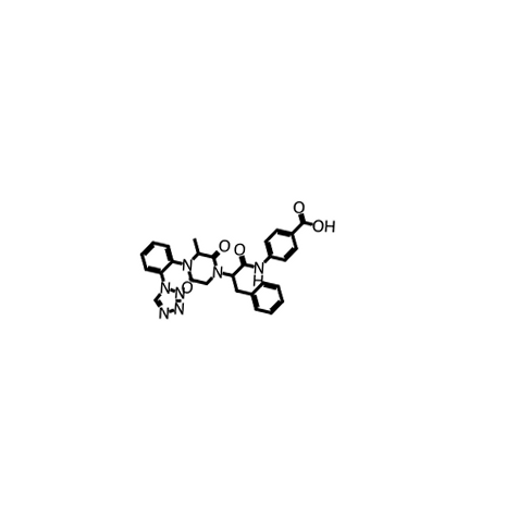 CC1C(=O)N(C(Cc2ccccc2)C(=O)Nc2ccc(C(=O)O)cc2)CC(=O)N1c1ccccc1-n1cnnn1